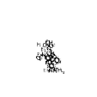 C=C(C)C(=O)OCCOC(=O)c1ccccc1-c1c2cc(C)c(NCC)cc2[o+]c2cc(NCC)c(C)cc12.[Cl-]